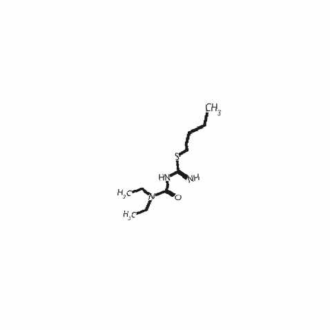 CCCCSC(=N)NC(=O)N(CC)CC